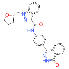 O=C(Nc1ccc(-c2n[nH]c(=O)c3ccccc23)cc1)c1nn(CC2CCCO2)c2ccccc12